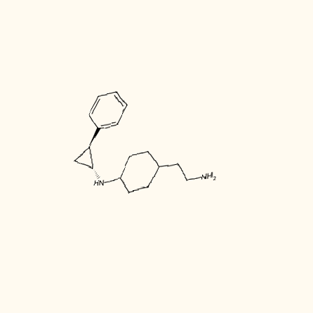 NCCC1CCC(N[C@@H]2C[C@H]2c2ccccc2)CC1